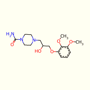 COc1cccc(OCC(O)CN2CCN(C(N)=O)CC2)c1OC